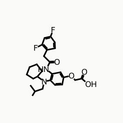 CC(C)CN(c1ccc(OCC(=O)O)cc1NC(=O)Cc1ccc(F)cc1F)C1CCCCC1